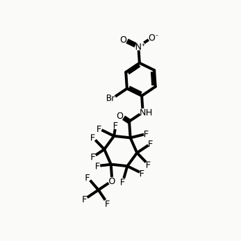 O=C(Nc1ccc([N+](=O)[O-])cc1Br)C1(F)C(F)(F)C(F)(F)C(F)(OC(F)(F)F)C(F)(F)C1(F)F